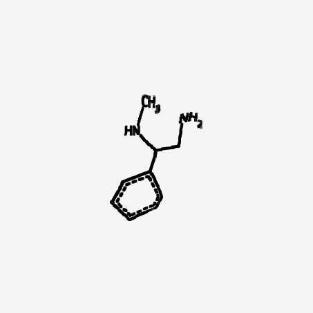 CNC(CN)c1ccccc1